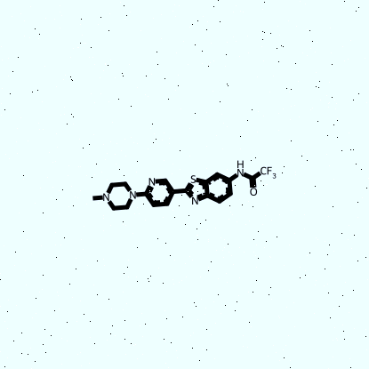 CN1CCN(c2ccc(-c3nc4ccc(NC(=O)C(F)(F)F)cc4s3)cn2)CC1